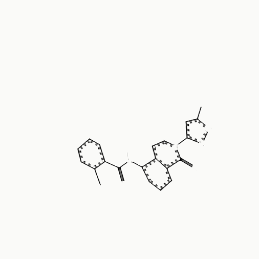 Cc1cc(-n2ccc3c(NC(=O)c4ccccc4C)cccc3c2=O)no1